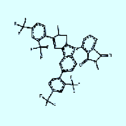 CC1Cc2c(c3cc(-c4ccc(C(F)(F)F)cc4C(F)(F)F)ccc3n2-c2cccc3c2C(=O)N(C)C3=O)C=C1c1ccc(C(F)(F)F)cc1C(F)(F)F